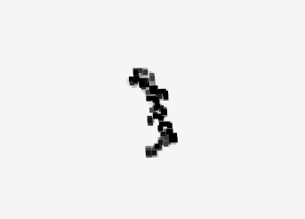 C#CCOP1(=O)CCC(c2ccc(N3C[C@H](CNC(C)=O)OC3=O)cc2F)CC1